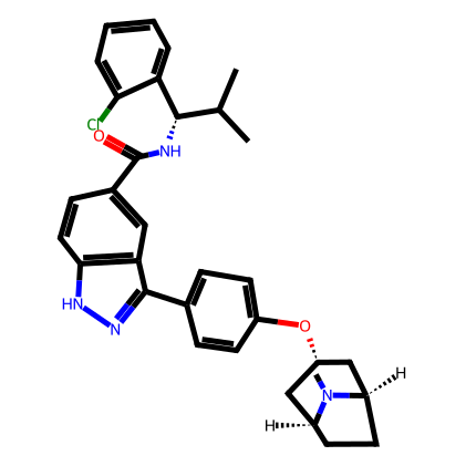 CC(C)[C@H](NC(=O)c1ccc2[nH]nc(-c3ccc(O[C@@H]4C[C@H]5CC[C@@H](C4)N5C)cc3)c2c1)c1ccccc1Cl